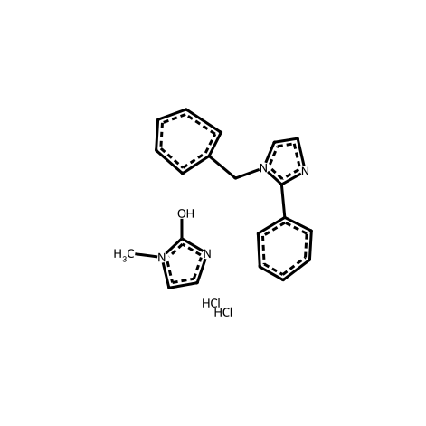 Cl.Cl.Cn1ccnc1O.c1ccc(Cn2ccnc2-c2ccccc2)cc1